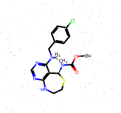 CN(Cc1ccc(Cl)cc1)c1ncnc2c1[C@@H](N(C)C(=O)OC(C)(C)C)SCCN2